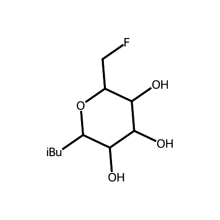 CCC(C)C1OC(CF)C(O)C(O)C1O